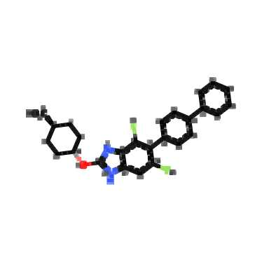 O=C(O)[C@H]1CC[C@H](Oc2nc3c(F)c(-c4ccc(-c5ccccc5)cc4)c(F)cc3[nH]2)CC1